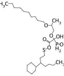 CCCCCCCCCCOC(C)COC(O)([PH2]=O)C(=O)OSCCC(CCCC)C1CCCCC1